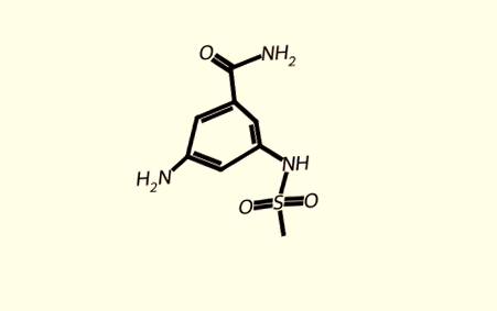 CS(=O)(=O)Nc1cc(N)cc(C(N)=O)c1